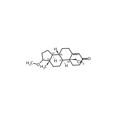 CC[C@]12CCC(=O)C=C1CC[C@@H]1[C@@H]2CC[C@]2(C)C(OC)CC[C@@H]12